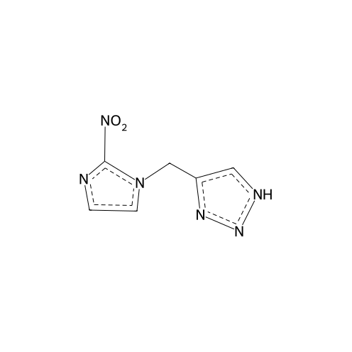 O=[N+]([O-])c1nccn1Cc1c[nH]nn1